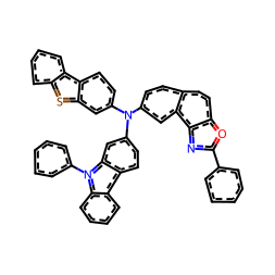 c1ccc(-c2nc3c(ccc4ccc(N(c5ccc6c(c5)sc5ccccc56)c5ccc6c7ccccc7n(-c7ccccc7)c6c5)cc43)o2)cc1